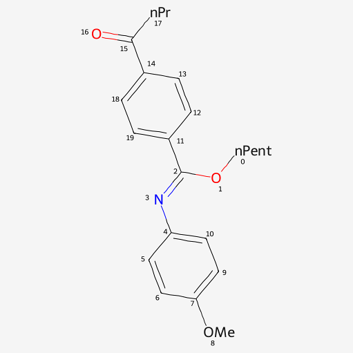 CCCCCOC(=Nc1ccc(OC)cc1)c1ccc(C(=O)CCC)cc1